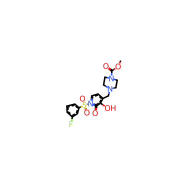 COC(=O)N1CCN(Cc2ccn(S(=O)(=O)c3cccc(F)c3)c(=O)c2O)CC1